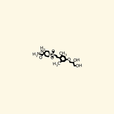 Cc1cc(OCC(O)CO)cc(C)c1C=CS(=O)(=O)N1CCC(N)(C(N)=O)CC1